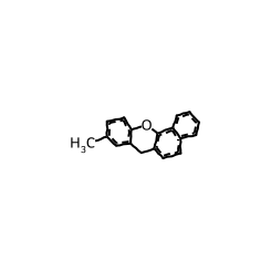 Cc1ccc2c(c1)Cc1ccc3ccccc3c1O2